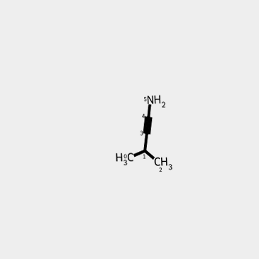 CC(C)C#CN